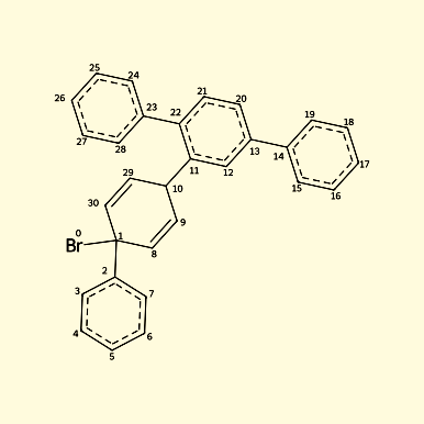 BrC1(c2ccccc2)C=CC(c2cc(-c3ccccc3)ccc2-c2ccccc2)C=C1